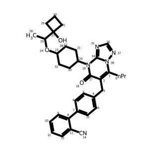 CCCc1c(Cc2ccc(-c3ccccc3C#N)cc2)c(=O)n(C2CCC(OC(C)C3(O)CCC3)CC2)c2ncnn12